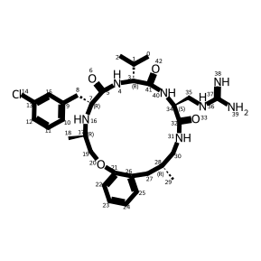 CC(C)[C@H]1NC(=O)[C@@H](Cc2cccc(Cl)c2)N[C@H](C)COc2ccccc2C[C@@H](C)CNC(=O)[C@H](CNC(=N)N)NC1=O